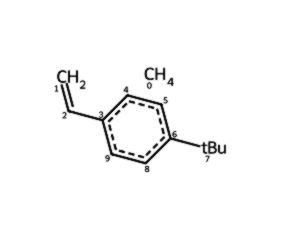 C.C=Cc1ccc(C(C)(C)C)cc1